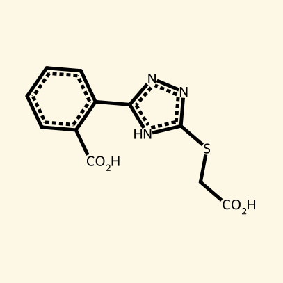 O=C(O)CSc1nnc(-c2ccccc2C(=O)O)[nH]1